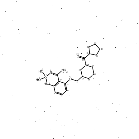 NC1=NS(O)(O)Nc2cccc(OCC3CCCN(C(=O)C4CCCC4)C3)c21